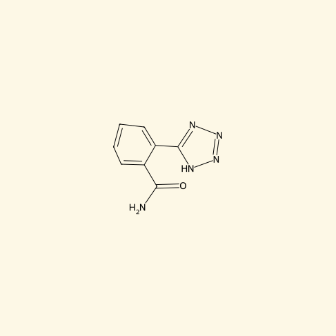 NC(=O)c1ccccc1-c1nnn[nH]1